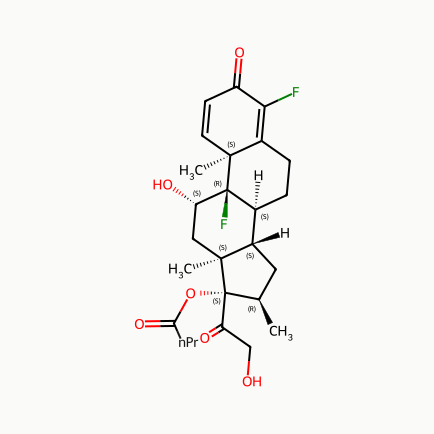 CCCC(=O)O[C@@]1(C(=O)CO)[C@H](C)C[C@H]2[C@@H]3CCC4=C(F)C(=O)C=C[C@]4(C)[C@@]3(F)[C@@H](O)C[C@@]21C